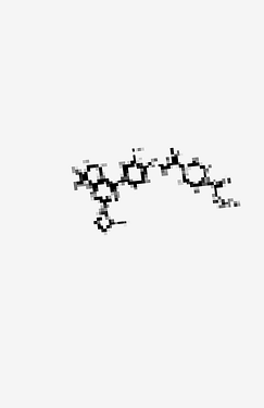 C[C@H]1CCN1c1nc(-c2ccc(OCC(=O)N3CCN(C(=O)OC(C)(C)C)CC3)c(F)c2)c2c(n1)C(F)(F)CC2